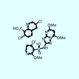 COc1cc(OC)n2nc(NS(=O)(=O)c3c(C(F)(F)F)ccnc3OC)nc2n1.O=C(O)c1c(Cl)ccc2cc(Cl)cnc12